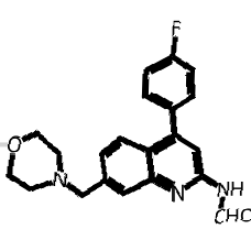 O=CNc1cc(-c2ccc(F)cc2)c2ccc(CN3CCOCC3)cc2n1